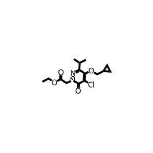 CCOC(=O)Cn1nc(C(C)C)c(OCC2CC2)c(Cl)c1=O